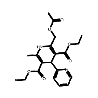 CCOC(=O)C1=C(C)NC(COC(C)=O)=C(C(=O)OCC)C1c1ccccn1